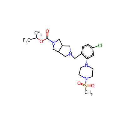 CS(=O)(=O)N1CCN(c2cc(Cl)ccc2CN2CC3CN(C(=O)OC(C(F)(F)F)C(F)(F)F)CC3C2)CC1